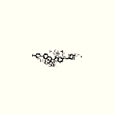 CCC(CC)(C(=O)O)C(Cc1ccc(-c2ccc(F)cn2)cc1)c1[nH]c2ccc(OCc3cnc(C)cn3)cc2c1SC(C)(C)C